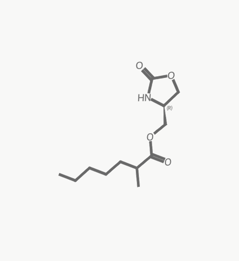 CCCCCC(C)C(=O)OC[C@@H]1COC(=O)N1